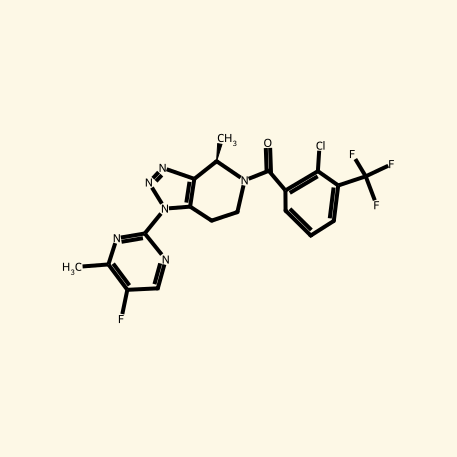 Cc1nc(-n2nnc3c2CCN(C(=O)c2cccc(C(F)(F)F)c2Cl)[C@@H]3C)ncc1F